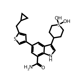 NC(=O)c1cc(-c2csc(CC3CC3)c2)cc2c(C3CCS(O)(O)CC3)c[nH]c12